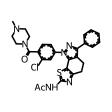 CC(=O)Nc1nc2c(s1)-c1c(c(-c3ccccc3)nn1-c1ccc(C(=O)N3CCN(C)CC3)c(Cl)c1)CC2